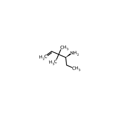 C=CC(C)(C)[C@@H](N)CC